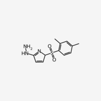 Cc1ccc(S(=O)(=O)C2C=CC(NN)=N2)c(C)c1